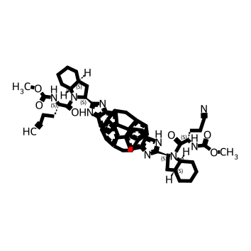 C#CCC[C@H](NC(=O)OC)C(=O)N1[C@H](c2nc3cc(-c4cc5ccc4CCc4ccc(c(-c6ccc7[nH]c([C@@H]8C[C@@H]9CCCC[C@@H]9N8C(=O)[C@H](CCC#N)NC(=O)OC)nc7c6)c4)CC5)ccc3[nH]2)C[C@@H]2CCCC[C@@H]21